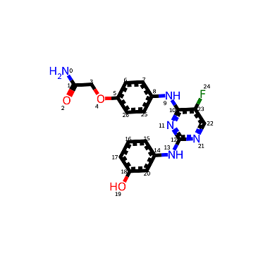 NC(=O)COc1ccc(Nc2nc(Nc3cccc(O)c3)ncc2F)cc1